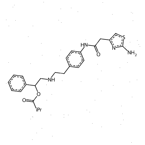 CC(C)C(=O)OC(CNCCc1ccc(NC(=O)Cc2csc(N)n2)cc1)c1ccccc1